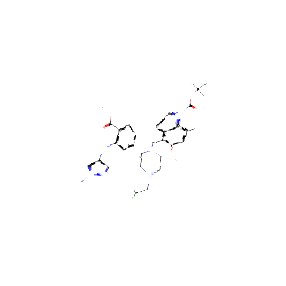 COC(=O)c1ccc([C@@H]2CN(CC(F)F)CCN2Cc2c(OC)cc(C)c3c2ccn3C(=O)OC(C)(C)C)cc1Nc1cnn(C)c1